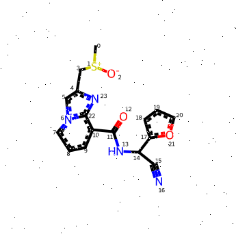 C[S+]([O-])Cc1cn2cccc(C(=O)NC(C#N)c3ccco3)c2n1